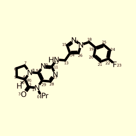 CC(C)N1C(=O)[C@H]2CCCN2c2nc(NCc3cnn(Cc4ccc(F)cc4)c3)ncc21